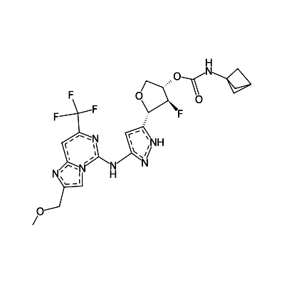 COCc1cn2c(Nc3cc([C@@H]4OC[C@H](OC(=O)NC56CC(C5)C6)[C@H]4F)[nH]n3)nc(C(F)(F)F)cc2n1